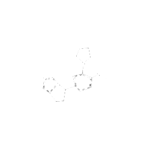 Nc1ccc(C2CCc3cncn32)cc1N1CCCC1